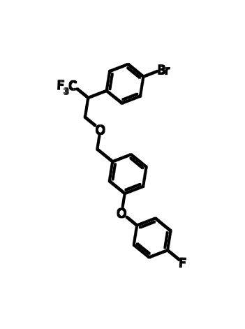 Fc1ccc(Oc2cccc(COCC(c3ccc(Br)cc3)C(F)(F)F)c2)cc1